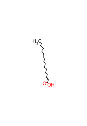 CCCCCCCCCCCCCCC=CC(=O)O